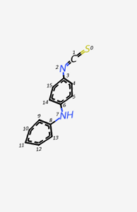 S=C=Nc1ccc(Nc2ccccc2)cc1